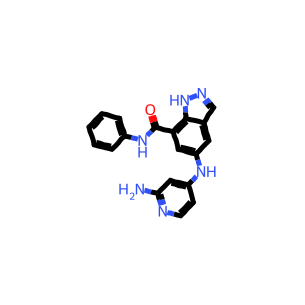 Nc1cc(Nc2cc(C(=O)Nc3ccccc3)c3[nH]ncc3c2)ccn1